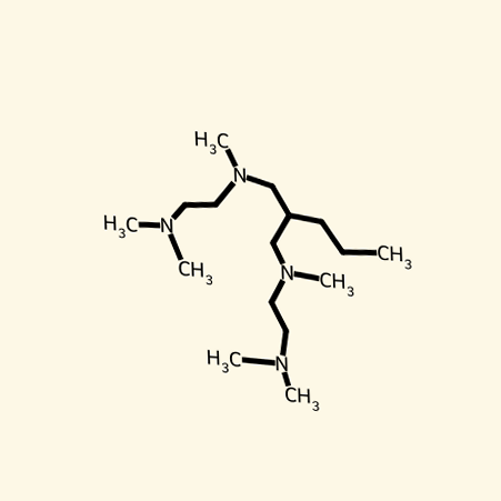 CCCC(CN(C)CCN(C)C)CN(C)CCN(C)C